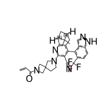 C=CC(=O)N1CC2(CCN(c3nc4c(c(-c5c(C(F)(F)F)ccc6[nH]ncc56)c3C#N)C[C@H]3C[C@@H]4C3(C)C)C2)C1